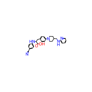 N#Cc1ccc(NC(Cc2ccc(N3CCC(CNc4ccccn4)CC3)cc2)C(=O)O)cc1